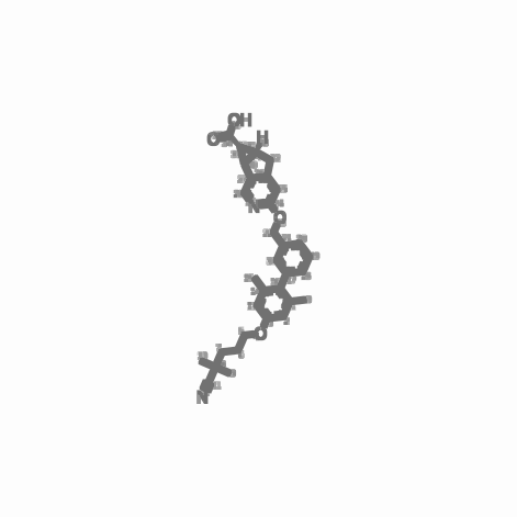 Cc1cc(OCCCC(C)(C)C#N)cc(C)c1-c1cccc(COc2cc3c(cn2)C2[C@@H](C3)[C@@H]2C(=O)O)c1